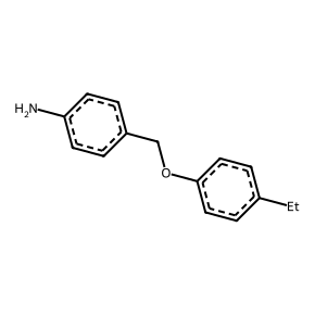 CCc1ccc(OCc2ccc(N)cc2)cc1